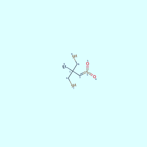 CCC(C=S(=O)=O)(CS)CS